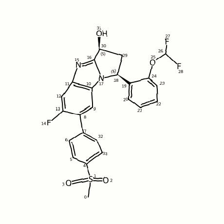 CS(=O)(=O)c1ccc(-c2cc3c(cc2F)nc2n3[C@H](c3ccccc3OC(F)F)C[C@@H]2O)cc1